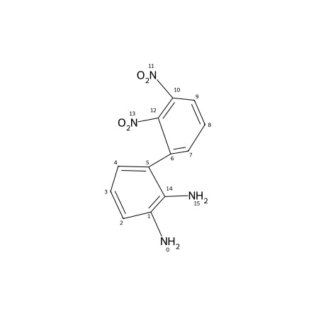 Nc1cccc(-c2cccc([N+](=O)[O-])c2[N+](=O)[O-])c1N